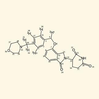 [2H]c1cc(C([2H])Oc2cccc3c2CN(C2CCC(=O)NC2=O)C3=O)c([2H])c([2H])c1C([2H])([2H])N1CCOCC1